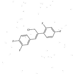 Fc1ccc(/C(=C/c2ccc(F)c(F)c2)CCl)c(F)c1